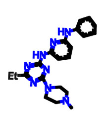 CCc1nc(Nc2cccc(Nc3ccccc3)n2)nc(N2CCN(C)CC2)n1